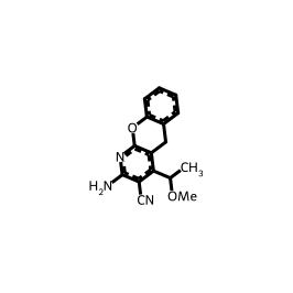 COC(C)c1c(C#N)c(N)nc2c1Cc1ccccc1O2